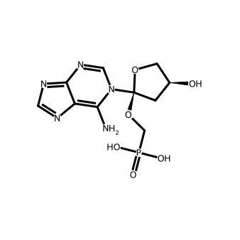 Nc1c2ncnc-2ncn1[C@@]1(OCP(=O)(O)O)C[C@H](O)CO1